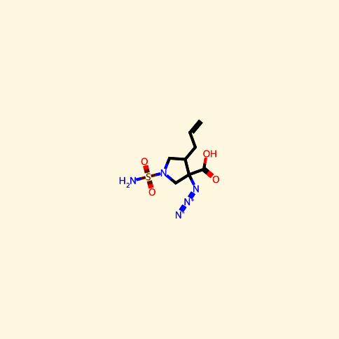 C=CCC1CN(S(N)(=O)=O)CC1(N=[N+]=[N-])C(=O)O